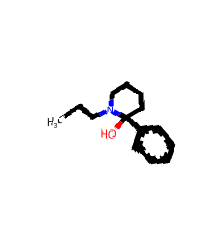 CCCN1CCCCC1(O)c1ccccc1